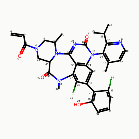 C=CC(=O)N1CC(C)N2c3nc(=O)n(-c4c(C)ccnc4C(C)C)c4cc(-c5c(O)cccc5F)c(F)c(c34)N(C)C(=O)C2C1